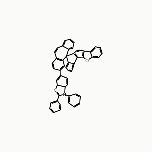 C1=CC2C(C=C1c1ccc3c(c1)C1(c4ccccc4C=C3)c3ccccc3-c3c1ccc1c3oc3ccccc31)N=C(c1ccccc1)N2c1ccccc1